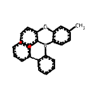 Cc1ccc2c(c1)Oc1ccccc1B2c1ccccc1-c1ccccc1